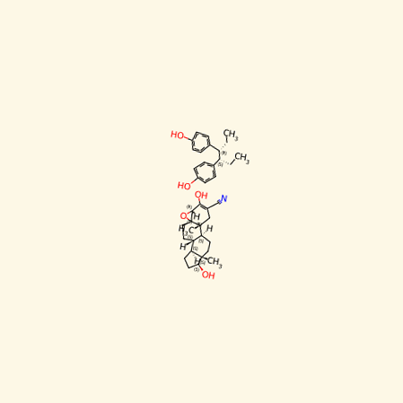 CC[C@H](c1ccc(O)cc1)[C@@H](CC)c1ccc(O)cc1.C[C@]12CC[C@H]3[C@@H](CC[C@@]45O[C@@H]4C(O)=C(C#N)C[C@]35C)[C@@H]1CC[C@@H]2O